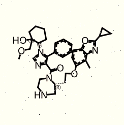 COC[C@]1(O)CCCC[C@H]1n1cnc(C(=O)N2CCNC[C@H]2CCOc2ccc3oc(C4CC4)nc3c2C)c1-c1ccccc1